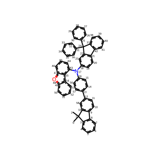 CC1(C)c2ccccc2-c2ccc(-c3ccc(N(c4ccc5c(c4)C(c4ccccc4)(c4ccccc4)c4ccccc4-5)c4cccc5oc6ccccc6c45)cc3)cc21